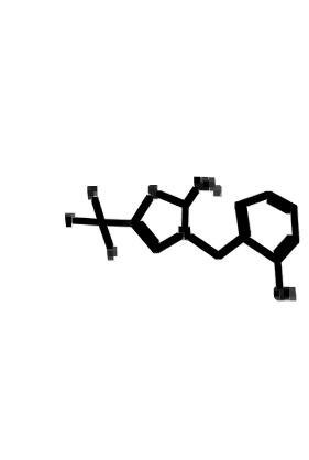 NC1SC(C(F)(F)F)=CN1Cc1ccccc1O